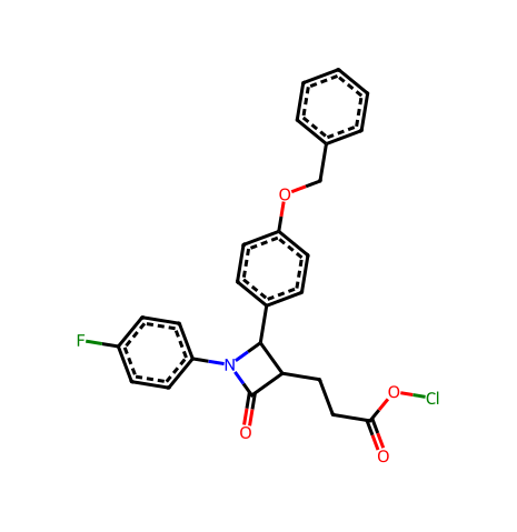 O=C(CCC1C(=O)N(c2ccc(F)cc2)C1c1ccc(OCc2ccccc2)cc1)OCl